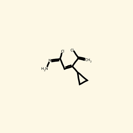 C=C(Cl)/C(=C\C(Cl)=N/N)C1CC1